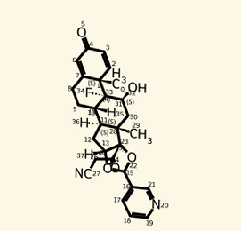 C[C@]12C=CC(=O)C=C1CC[C@H]1[C@@H]3C[C@H]4OC(c5cccnc5)O[C@@]4(C(=O)CC#N)[C@@]3(C)C[C@H](O)[C@@]12F